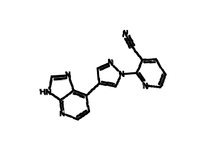 N#Cc1cccnc1-n1cc(-c2ccnc3[nH]cnc23)cn1